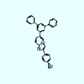 Brc1ccc(-c2cn3cc(-c4cc(-c5ccccc5)cc(-c5ccccc5)c4)ccc3n2)cc1